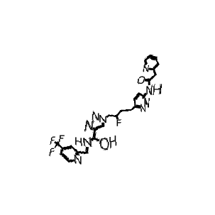 O=C(Cc1ccccn1)Nc1ccc(CCC(F)Cn2cc(C(O)NCc3cc(C(F)(F)F)ccn3)nn2)nn1